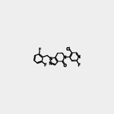 O=C1c2cnn(Cc3c(F)cccc3F)c2CCN1c1cc(F)ncc1Cl